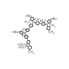 CCCCCCCCC1(CCCCCCCC)c2cc(C)ccc2-c2ccc(-c3ccc(N(c4ccc(-c5ccc(N(c6ccc(-c7ccc(N(c8ccc(C)cc8)c8c(C)cc(CCCC)cc8C)cc7)cc6)c6c(C)cc(CCCC)cc6C)cc5)cc4)c4c(C)cc(CCCC)cc4C)cc3)cc21